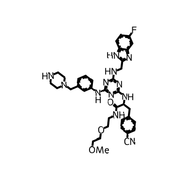 COCCOCCNC(=O)C(Cc1ccc(C#N)cc1)Nc1nc(NCc2nc3cc(F)ccc3[nH]2)nc(Nc2cccc(CN3CCNCC3)c2)n1